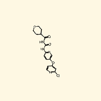 O=C(NC(=O)C1CCOCC1)Nc1ccc(Oc2ccnc(Cl)c2)cn1